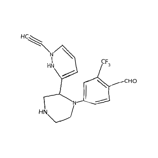 C#CN1C=CC=C(C2CNCCN2c2ccc(C=O)c(C(F)(F)F)c2)N1